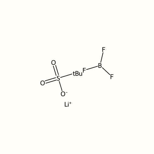 CC(C)(C)S(=O)(=O)[O-].FB(F)F.[Li+]